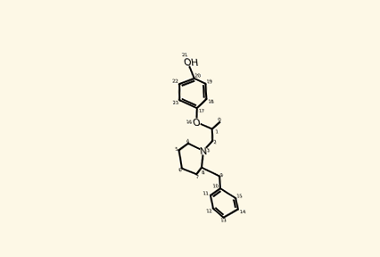 CC(CN1CCCCC1Cc1ccccc1)Oc1ccc(O)cc1